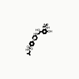 CC(C)CNS(=O)(=O)c1ccc(N2CCC(NC[C@H](O)c3ccc(O)c(NS(C)(=O)=O)c3)CC2)cc1